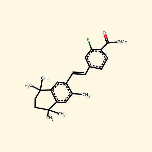 COC(=O)c1ccc(C=Cc2cc3c(cc2C)C(C)(C)CCC3(C)C)cc1F